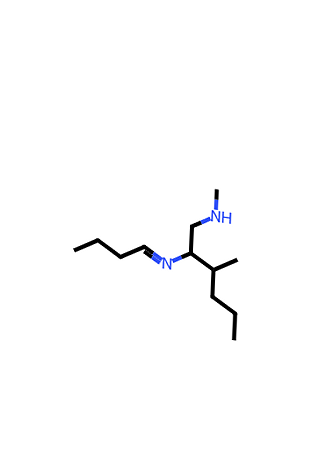 CCC/C=N/C(CNC)C(C)CCC